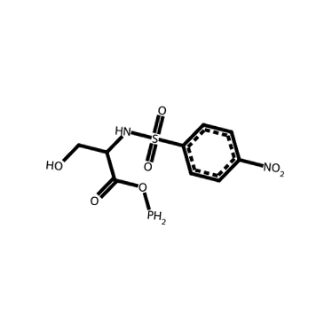 O=C(OP)C(CO)NS(=O)(=O)c1ccc([N+](=O)[O-])cc1